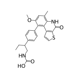 CCC(CNC(=O)O)c1ccc(-c2c(OC)cc(C)c3[nH]c(=O)c4sccc4c23)cc1